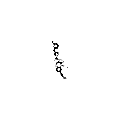 CN1C(=O)C(NC(=O)n2cc(Cc3cccc(F)n3)cn2)COc2ccc(C#CC(C)(C)C)cc21